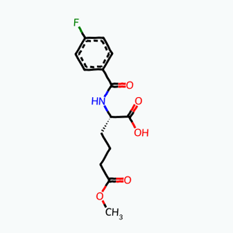 COC(=O)CCC[C@H](NC(=O)c1ccc(F)cc1)C(=O)O